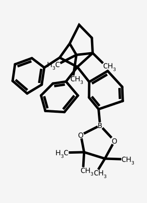 CC1(C)OB(c2cccc(C3(c4ccccc4)C(c4ccccc4)C4CCC3(C)C4(C)C)c2)OC1(C)C